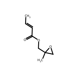 CC=CC(=O)OCC1(C)CO1